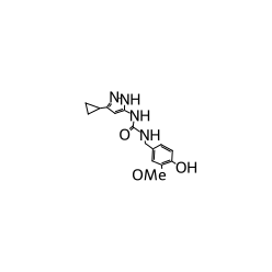 COc1cc(CNC(=O)Nc2cc(C3CC3)n[nH]2)ccc1O